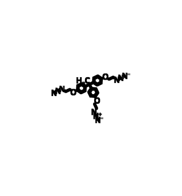 CC(c1ccc(OCCN=[N+]=[N-])cc1)(c1ccc(OCCN=[N+]=[N-])cc1)c1ccc(OCCN=[N+]=[N-])cc1